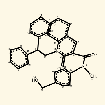 CN(C(=O)c1cc2ccccc2n(CC(c2ccccc2)c2ccccc2)c1=O)c1ccc(CO)cc1